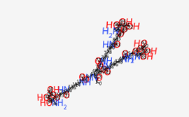 CCC(=O)NC(CCCOC(=O)NCCCCCCNC(=O)CCCOC1OC(CO)C(O)C(O)C1N)(CCCOC(=O)NCCCCCCNC(=O)CCCOC1OC(CO)C(O)C(O)C1N)CCCOC(=O)NCCCCCCNC(=O)CCCOC1OC(CO)C(O)C(O)C1N